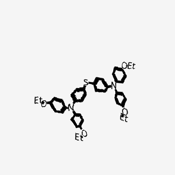 CCOc1ccc(N(c2ccc(OCC)cc2)c2ccc(Sc3ccc(N(c4ccc(OCC)cc4)c4ccc(OCC)cc4)cc3)cc2)cc1